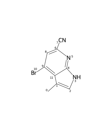 Cc1c[nH]c2nc(C#N)cc(Br)c12